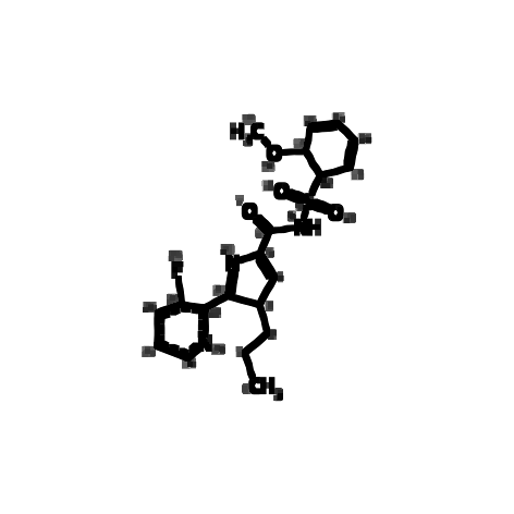 CCCC1C=C(C(=O)NS(=O)(=O)C2C=CC=CC2OC)N=C1c1ncccc1F